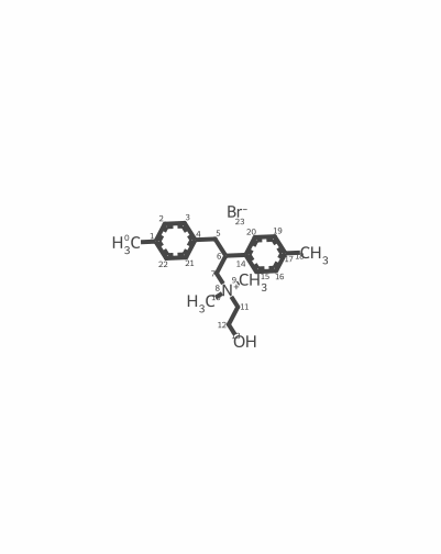 Cc1ccc(CC(C[N+](C)(C)CCO)c2ccc(C)cc2)cc1.[Br-]